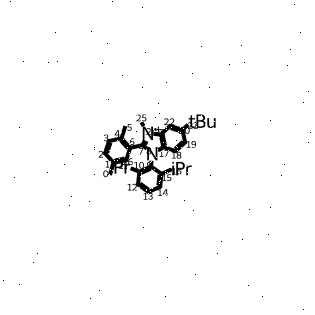 Cc1ccc(C)c(-c2n(-c3c(C(C)C)cccc3C(C)C)c3ccc(C(C)(C)C)cc3[n+]2C)c1